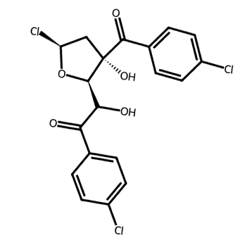 O=C(c1ccc(Cl)cc1)C(O)[C@H]1O[C@@H](Cl)C[C@@]1(O)C(=O)c1ccc(Cl)cc1